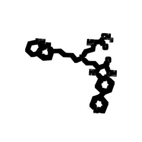 CC(=O)NCCN(CCCCc1ccc2c(n1)NCCC2)CCC(Nc1cc(-c2ccncc2)ccn1)C(=O)O